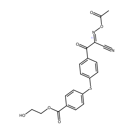 CC(=O)O/N=C(\C#N)C(=O)c1ccc(Sc2ccc(C(=O)OCCO)cc2)cc1